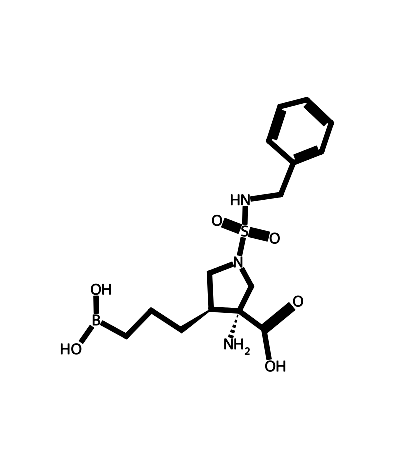 N[C@@]1(C(=O)O)CN(S(=O)(=O)NCc2ccccc2)C[C@@H]1CCCB(O)O